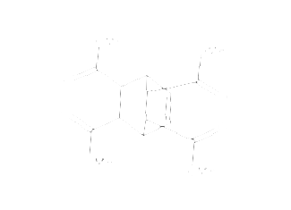 COC(=O)C1C2C=CC(C1C(=O)OC)C(C(=O)OC)C2C(=O)OC